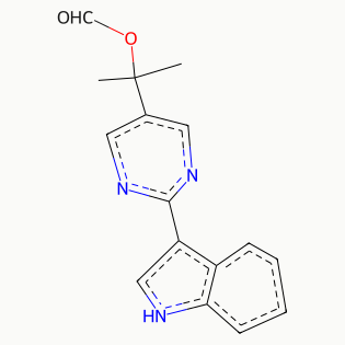 CC(C)(OC=O)c1cnc(-c2c[nH]c3ccccc23)nc1